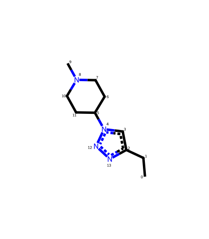 CCc1cn(C2CCN(C)CC2)nn1